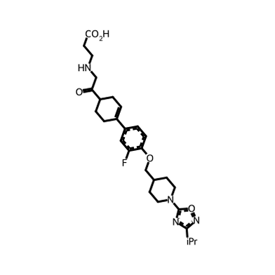 CC(C)c1noc(N2CCC(COc3ccc(C4=CCC(C(=O)CNCCC(=O)O)CC4)cc3F)CC2)n1